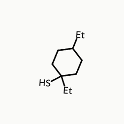 CCC1CCC(S)(CC)CC1